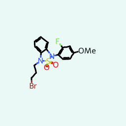 COc1ccc(N2c3ccccc3N(CCCBr)S2(=O)=O)c(F)c1